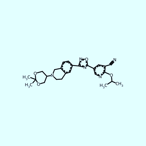 CC(C)Oc1ncc(-c2nc(-c3ccc4c(c3)CCN(C3COC(C)(C)OC3)C4)no2)cc1C#N